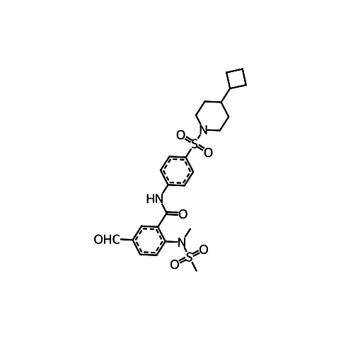 CN(c1ccc(C=O)cc1C(=O)Nc1ccc(S(=O)(=O)N2CCC(C3CCC3)CC2)cc1)S(C)(=O)=O